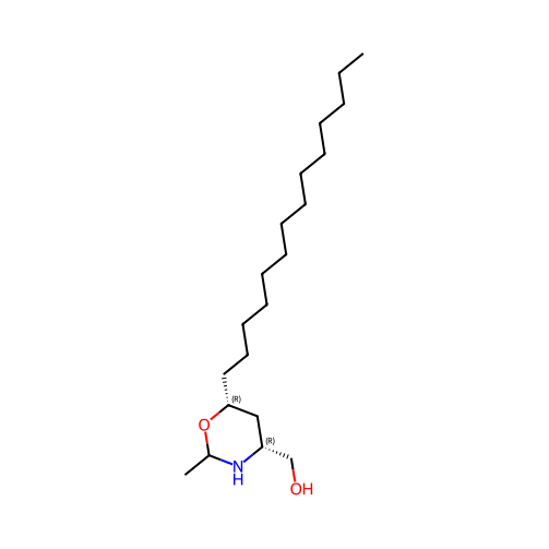 CCCCCCCCCCCCCC[C@@H]1C[C@H](CO)NC(C)O1